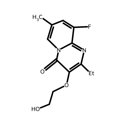 CCc1nc2c(F)cc(C)cn2c(=O)c1OCCO